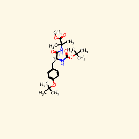 COC(=O)C(C)(C)NC(=O)[C@H](Cc1ccc(OC(C)(C)C)cc1)NC(=O)OC(C)(C)C